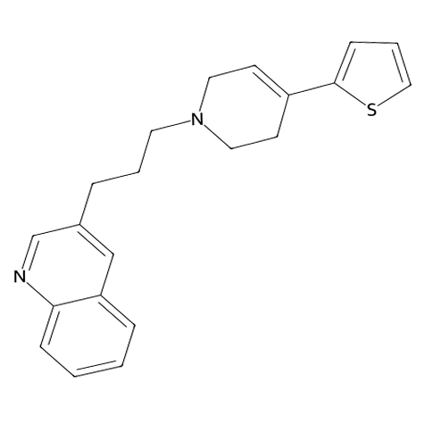 C1=C(c2cccs2)CCN(CCCc2cnc3ccccc3c2)C1